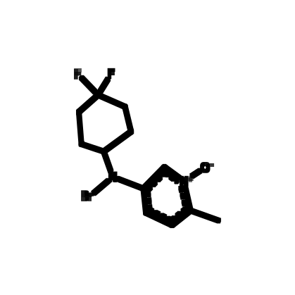 Cc1ccc(N(Br)C2CCC(F)(F)CC2)c[n+]1[O-]